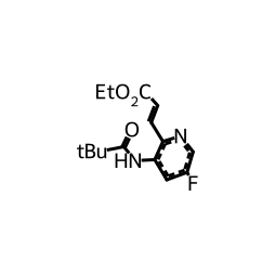 CCOC(=O)/C=C/c1ncc(F)cc1NC(=O)C(C)(C)C